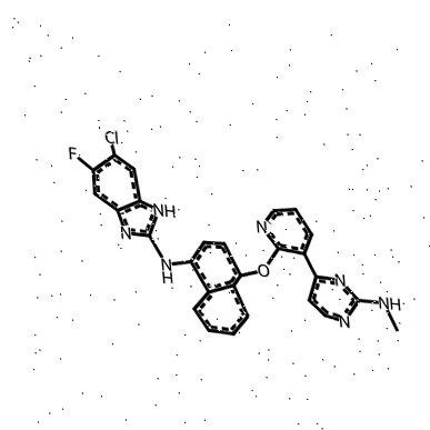 CNc1nccc(-c2cccnc2Oc2ccc(Nc3nc4cc(F)c(Cl)cc4[nH]3)c3ccccc23)n1